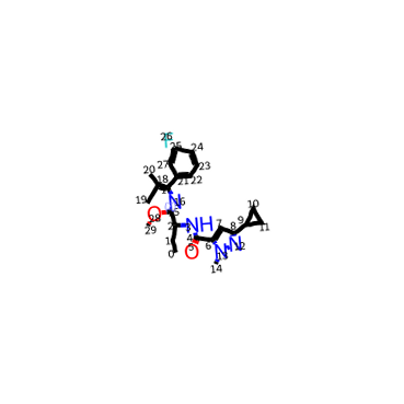 CCC(NC(=O)c1cc(C2CC2)nn1C)/C(=N/C(=C(C)C)c1cccc(F)c1)OC